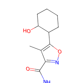 Cc1c(C(N)=O)noc1C1CCCCC1O